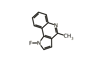 Cc1nc2ccccc2c2c1ccn2F